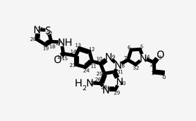 C=CC(=O)N1CCC(n2nc(-c3ccc(C(=O)Nc4ccns4)cc3)c3c(N)ncnc32)C1